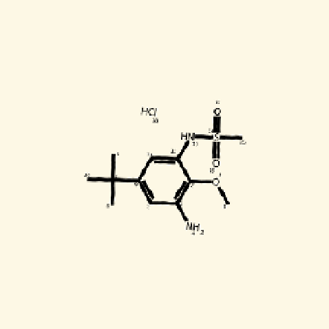 COc1c(N)cc(C(C)(C)C)cc1NS(C)(=O)=O.Cl